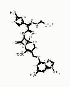 Cn1cn[n+]2c(SCC3=C(C(=O)[O-])N4C(=O)C(NC(=O)/C(=N\OCC(=O)O)c5csc(N)n5)[C@@H]4SC3)nc(N)cc12